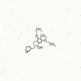 CCCOc1cc2c(c(OCCC)c1C)CCC(Cc1cccnc1)C2O